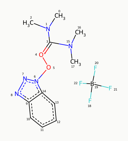 CN(C)C(=[O+]On1nnc2ccccc21)N(C)C.F[B-](F)(F)F